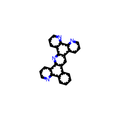 c1ccc2c(c1)c1cc3c4cccnc4c4ncccc4c3nc1c1cccnc21